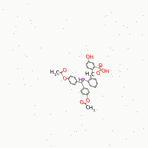 CC(=O)Oc1ccc(C(Pc2ccccc2)c2ccc(OC(C)=O)cc2)cc1.Cc1ccc(O)cc1S(=O)(=O)O